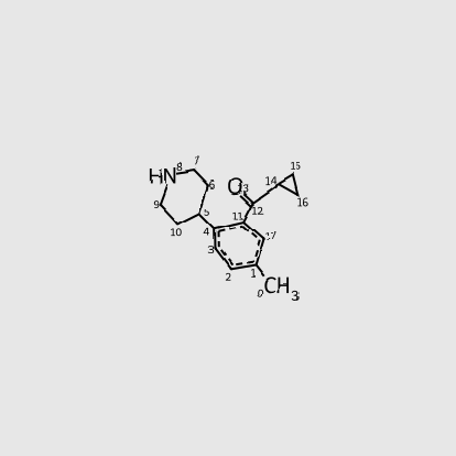 Cc1ccc(C2CCNCC2)c(C(=O)C2CC2)c1